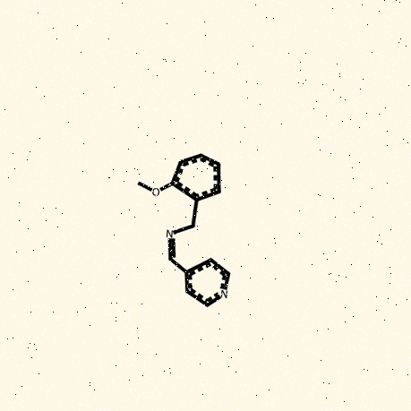 COc1ccccc1C/N=C\c1ccncc1